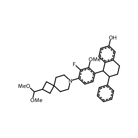 COc1c(C2c3ccc(O)cc3CCC2c2ccccc2)ccc(N2CCC3(CC2)CC(C(OC)OC)C3)c1F